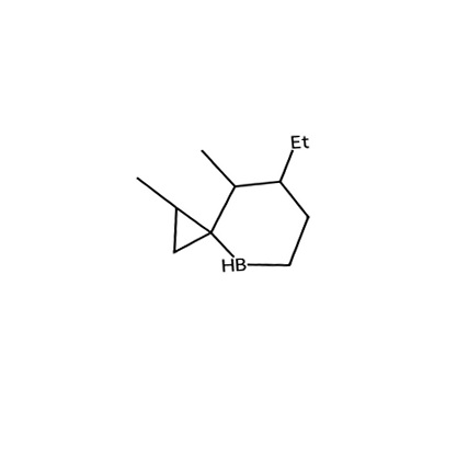 CCC1CCBC2(CC2C)C1C